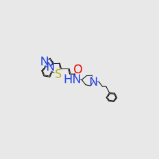 O=C(C=CC1=Cc2cnc3cccc(n23)S1)NC1CCN(CCCc2ccccc2)CC1